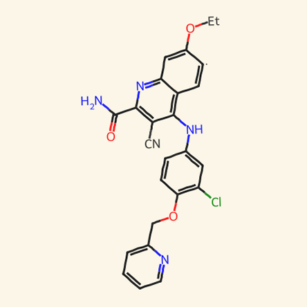 CCOc1[c]cc2c(Nc3ccc(OCc4ccccn4)c(Cl)c3)c(C#N)c(C(N)=O)nc2c1